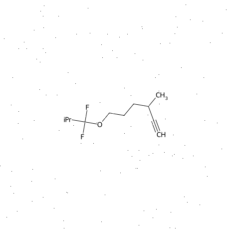 C#CC(C)CCCOC(F)(F)C(C)C